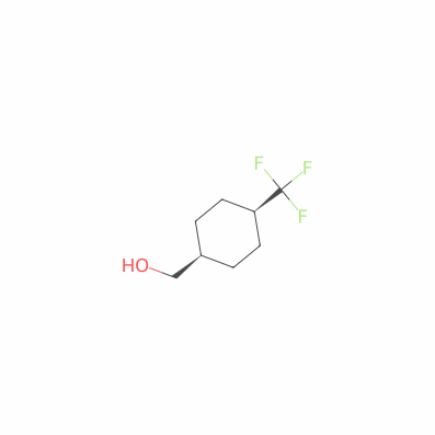 OC[C@H]1CC[C@@H](C(F)(F)F)CC1